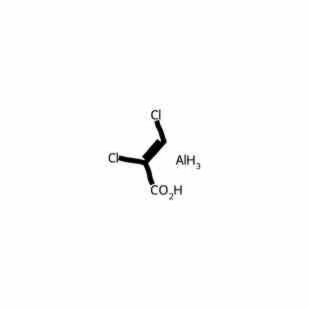 O=C(O)C(Cl)=CCl.[AlH3]